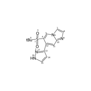 CC(C)(C)S(=O)(=O)c1cn2ccnc2cc1-c1cc[nH]n1